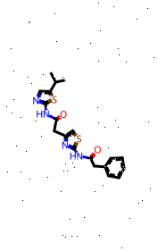 CC(C)c1cnc(NC(=O)Cc2csc(NC(=O)Cc3ccccc3)n2)s1